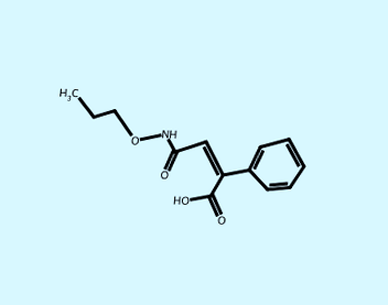 CCCONC(=O)C=C(C(=O)O)c1ccccc1